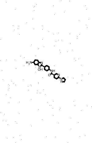 Nc1ccc2nc(-c3ccc(NC(=O)c4ccc(-n5cccn5)nc4)cc3)n(O)c2c1